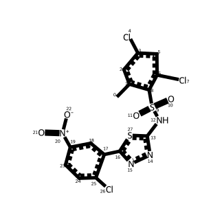 Cc1cc(Cl)cc(Cl)c1S(=O)(=O)Nc1nnc(-c2cc([N+](=O)[O-])ccc2Cl)s1